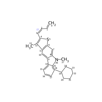 C=C/C=C\c1sc2cc3c(cc2c1C)c1cccc(C2CCCCC2)c1n3C